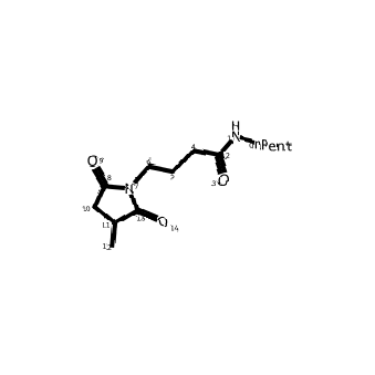 CCCCCNC(=O)CCCN1C(=O)CC(C)C1=O